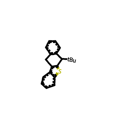 CC(C)(C)C1c2ccccc2Cc2c1sc1ccccc21